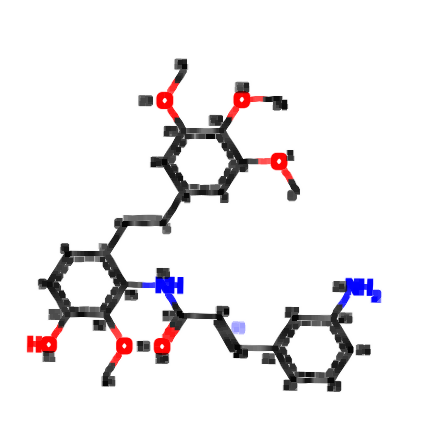 COc1cc(C=Cc2ccc(O)c(OC)c2NC(=O)/C=C/c2cccc(N)c2)cc(OC)c1OC